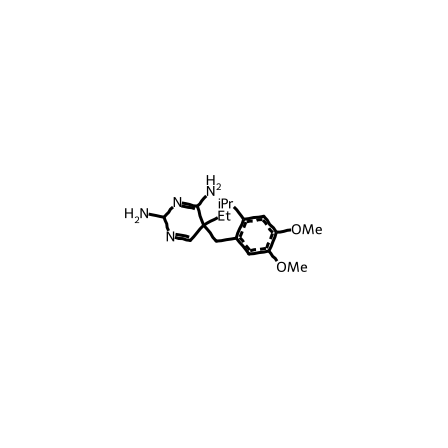 CCC1(Cc2cc(OC)c(OC)cc2C(C)C)C=NC(N)N=C1N